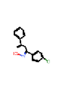 C=C(CC(=NO)c1ccc(Cl)cc1)c1ccccc1